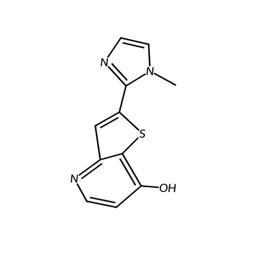 Cn1ccnc1-c1cc2nccc(O)c2s1